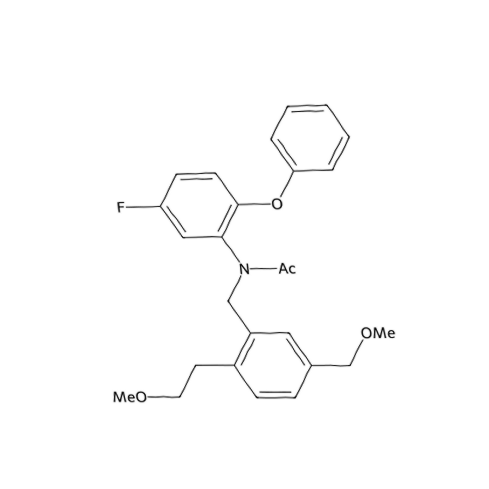 COCCc1ccc(COC)cc1CN(C(C)=O)c1cc(F)ccc1Oc1ccccc1